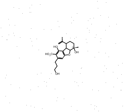 C=C(C)C1CC[C@](C)(O)C2Oc3cc(CCCO)c(C(=O)O)c(O)c3C12